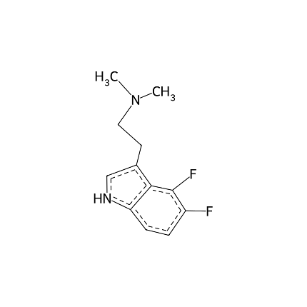 CN(C)CCc1c[nH]c2ccc(F)c(F)c12